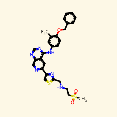 CS(=O)(=O)CCNCc1nc(-c2cc3c(Nc4ccc(OCc5ccccc5)c(C(F)(F)F)c4)ncnc3cn2)cs1